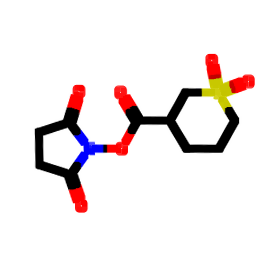 O=C(ON1C(=O)CCC1=O)C1CCCS(=O)(=O)C1